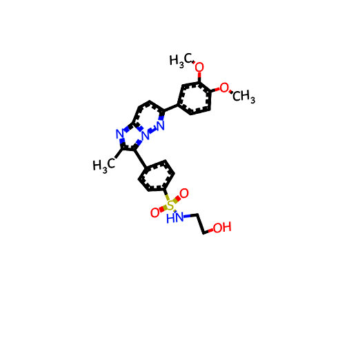 COc1ccc(-c2ccc3nc(C)c(-c4ccc(S(=O)(=O)NCCO)cc4)n3n2)cc1OC